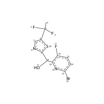 CC(F)(F)c1cnc(C(O)c2nc(Br)ccc2F)s1